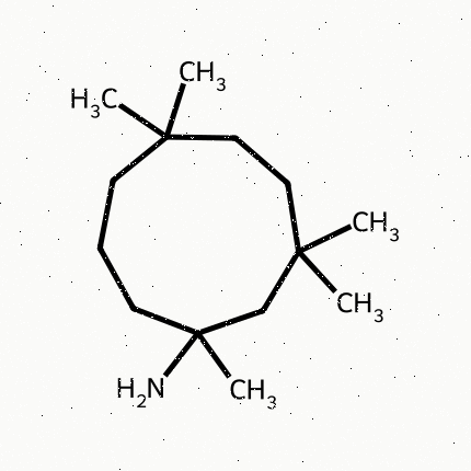 CC1(C)CCCC(C)(N)CC(C)(C)CC1